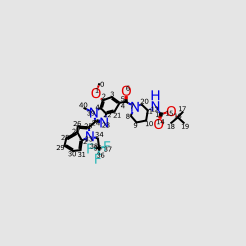 COc1cc(C(=O)N2CCC[C@@H](NC(=O)OC(C)(C)C)C2)cc2nc(-c3cc4ccccc4n3CC(F)(F)F)n(C)c12